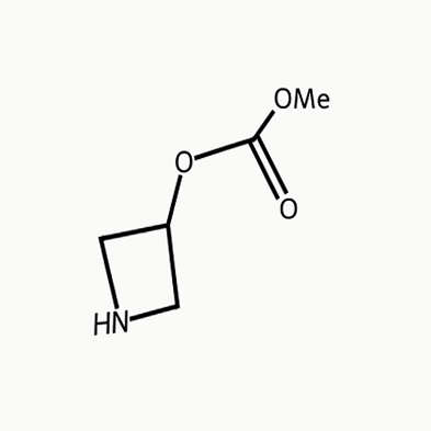 COC(=O)OC1CNC1